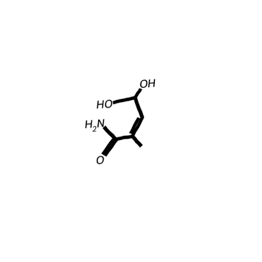 CC(=CC(O)O)C(N)=O